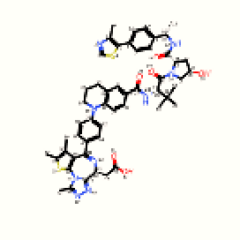 Cc1ncsc1-c1ccc([C@H](C)NC(=O)[C@@H]2C[C@@H](O)CN2C(=O)[C@@H](NC(=O)c2ccc3c(c2)CCCN3c2ccc(C3=N[C@@H](CC(=O)O)c4nnc(C)n4-c4sc(C)c(C)c43)cc2)C(C)(C)C)cc1